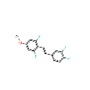 CCOc1cc(F)c(C=Cc2ccc(F)c(F)c2)c(F)c1